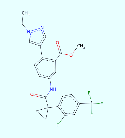 CCn1cc(-c2ccc(NC(=O)C3(c4ccc(C(F)(F)F)cc4F)CC3)cc2C(=O)OC)cn1